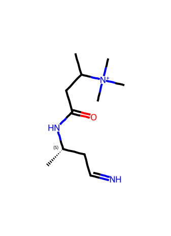 CC(CC(=O)N[C@@H](C)CC=N)[N+](C)(C)C